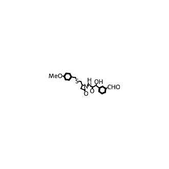 COc1ccc(CSCC2CC(=O)N2NC(=O)C(O)c2cccc(C=O)c2)cc1